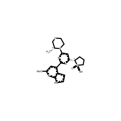 COc1cc(-c2nc([C@@H]3CCCS3(=N)=O)cc(N3CCOC[C@H]3C)n2)c2cc[nH]c2n1